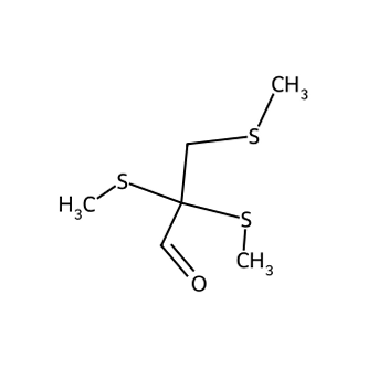 CSCC(C=O)(SC)SC